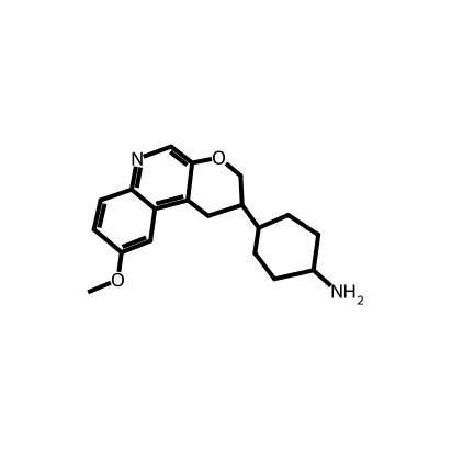 COc1ccc2ncc3c(c2c1)CC(C1CCC(N)CC1)CO3